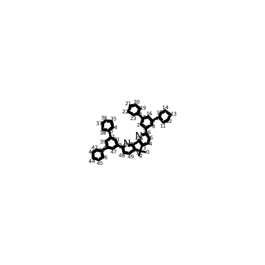 CC1(C)c2ccc(-c3cc(-c4ccccc4)cc(-c4ccccc4)c3)nc2-c2nc(-c3cc(-c4ccccc4)cc(-c4ccccc4)c3)ccc21